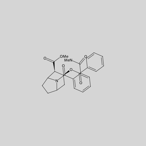 CNC(=O)c1ccccc1C(=O)N1C2CCC1[C@@H](C(=O)OC)[C@@H](OC(=O)c1ccccc1)C2